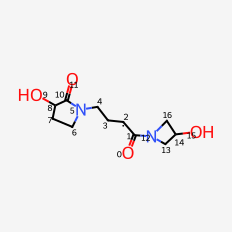 O=C([CH]CCN1CCC(O)C1=O)N1CC(O)C1